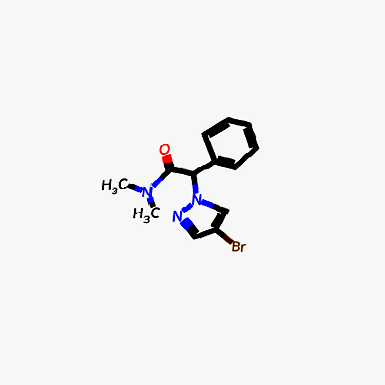 CN(C)C(=O)C(c1ccccc1)n1cc(Br)cn1